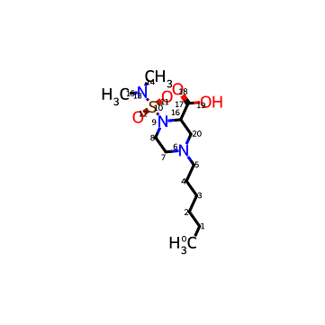 CCCCCCN1CCN(S(=O)(=O)N(C)C)C(C(=O)O)C1